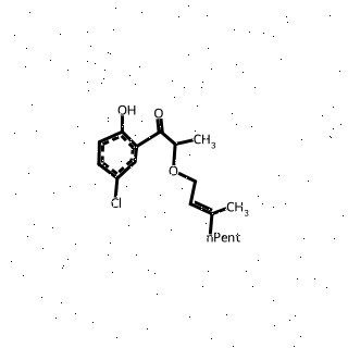 CCCCC/C(C)=C/COC(C)C(=O)c1cc(Cl)ccc1O